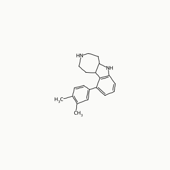 Cc1ccc(-c2cccc3c2C2CCNCCC2N3)cc1C